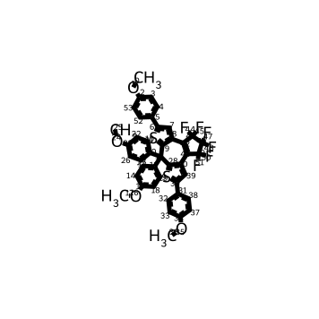 COc1ccc(-c2cc3c(s2)C(c2ccc(OC)cc2)(c2ccc(OC)cc2)c2sc(-c4ccc(OC)cc4)cc2C2=C3C(F)(F)C(F)(F)C2(F)F)cc1